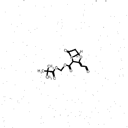 CC(C)(C)C(=O)OCOC(=O)C1C(=CC=O)O[C@@H]2CC(=O)N12